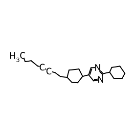 CCCCCCCCC1CCC(c2cnc(C3CCCCC3)nc2)CC1